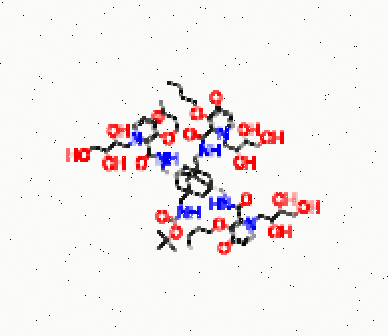 CCCCOc1c(C(=O)NC[C@]23CC4(CNC(=O)OC(C)(C)C)C[C@](CNC(=O)c5c(OCCCC)c(=O)ccn5CC(O)C(O)CO)(C2)C[C@@](CNC(=O)c2c(OCCCC)c(=O)ccn2CC(O)C(O)CO)(C4)C3)n(CC(O)C(O)CO)ccc1=O